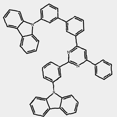 c1ccc(-c2cc(-c3cccc(-c4cccc(-n5c6ccccc6c6ccccc65)c4)c3)nc(-c3cccc(-n4c5ccccc5c5ccccc54)c3)n2)cc1